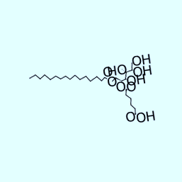 CCCCCCCCCCCCCCCC(=O)OC[C@H](OC(=O)CCCCC(=O)O)[C@@H](O)[C@H](O)[C@H](O)CO